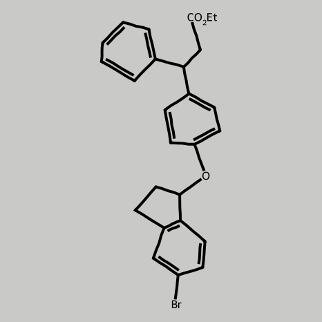 CCOC(=O)CC(c1ccccc1)c1ccc(OC2CCc3cc(Br)ccc32)cc1